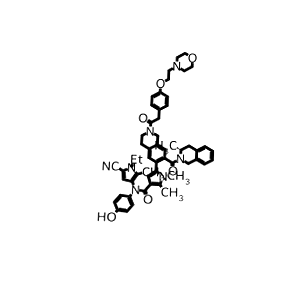 CCn1c(C#N)cc(N(C(=O)c2cc(-c3cc4c(cc3C(=O)N3Cc5ccccc5C[C@H]3C)CN(C(=O)Cc3ccc(OCCN5CCOCC5)cc3)CC4)n(C)c2C)c2ccc(O)cc2)c1C